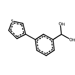 OC(O)c1cccc(-c2ccsc2)c1